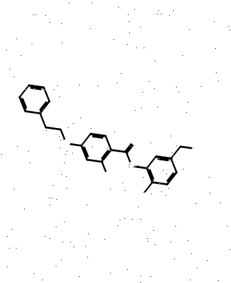 O=C(O)Cc1ccc(Cl)c(NC(=O)c2ccc(OCCc3ccccc3)cc2C(F)(F)F)c1